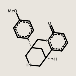 COc1ccc([C@@]23CNC[C@@H](C2)c2cccc(=O)n2C3)cc1